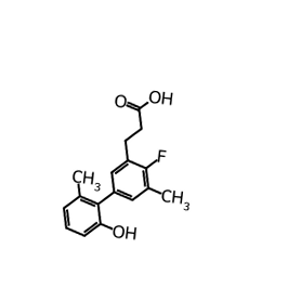 Cc1cc(-c2c(C)cccc2O)cc(CCC(=O)O)c1F